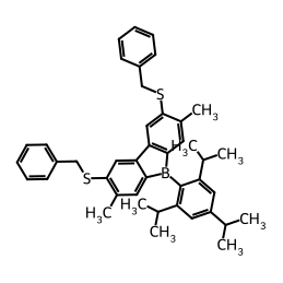 Cc1cc2c(cc1SCc1ccccc1)-c1cc(SCc3ccccc3)c(C)cc1B2c1c(C(C)C)cc(C(C)C)cc1C(C)C